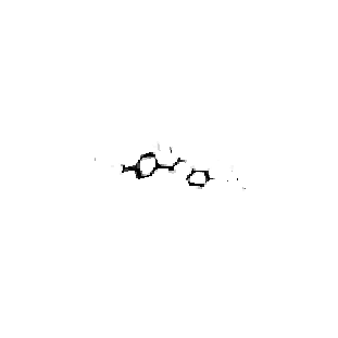 Cc1cccc(OC(C)C(=O)c2ccc(C(C)C)cc2)c1C